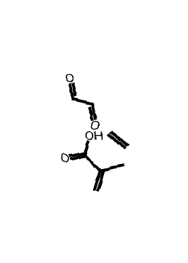 C=C.C=C(C)C(=O)O.O=CC=O